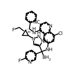 BC(Nc1cc(Cl)c2ncc(C#N)c(N[C@H](CCF)c3ccccc3)c2c1)(C1=CN(C2CC2)NN1)c1ccc(F)nc1